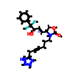 O=C1OCC(/C=C/C(O)C(F)(F)c2ccccc2)N1CCCC#CCc1nnn[nH]1